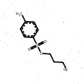 Cc1ccc(S(=O)(=O)OCCC[18F])cc1